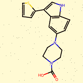 O=C(O)N1CCN(c2ccc3[nH]cc(-c4cccs4)c3c2)CC1